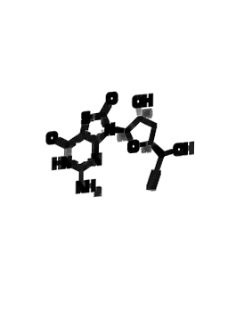 C#CC(O)[C@@H]1C[C@@H](O)[C@H](n2c(=O)sc3c(=O)[nH]c(N)nc32)O1